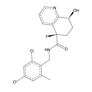 Cc1cc(Cl)cc(Cl)c1CNC(=O)[C@@]1(F)CC[C@H](O)c2ncccc21